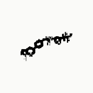 CC(C)(c1cc(NC(=O)Cc2ccc(-c3cnc4[nH]ncc4c3)cc2)no1)C(F)(F)F